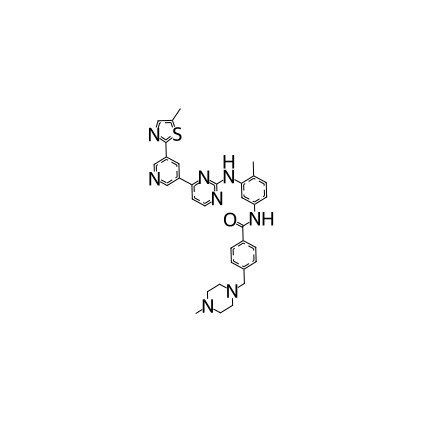 Cc1cnc(-c2cncc(-c3ccnc(Nc4cc(NC(=O)c5ccc(CN6CCN(C)CC6)cc5)ccc4C)n3)c2)s1